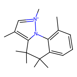 Cc1cccc2c1-n1c(c(C)c[n+]1C)C(C)(C)C2(C)C